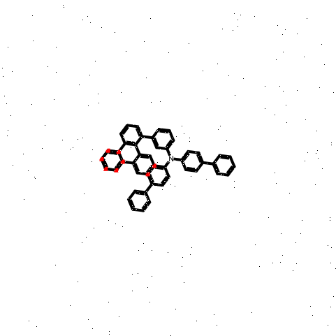 c1ccc(-c2ccc(N(c3ccc(-c4ccccc4)cc3)c3cccc(-c4cccc(-c5ccccc5)c4-c4ccccc4-c4ccccc4)c3)cc2)cc1